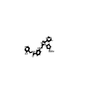 CCc1cnccc1CNC(=O)c1cccc(NCc2nnc(-c3ccncn3)n2[C@@H]2CC[C@@H](NC)C2)c1